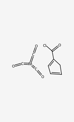 O=C(Cl)C1=CC=CC1.O=[C]=[Re](=[C]=O)=[C]=O